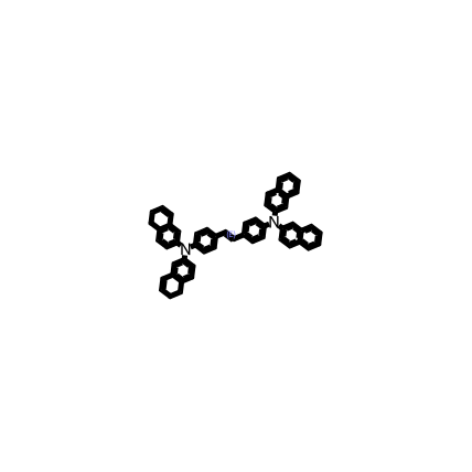 C1=Cc2cc(N(c3ccc(/C=C/c4ccc(N(c5ccc6ccccc6c5)c5ccc6ccccc6c5)cc4)cc3)c3ccc4c(c3)C=CCC4)ccc2CC1